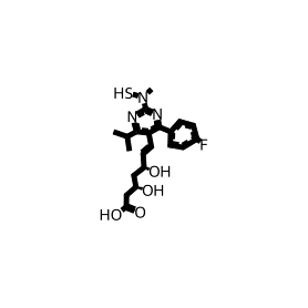 CC(C)c1nc(N(C)S)nc(-c2ccc(F)cc2)c1/C=C/[C@@H](O)C[C@@H](O)CC(=O)O